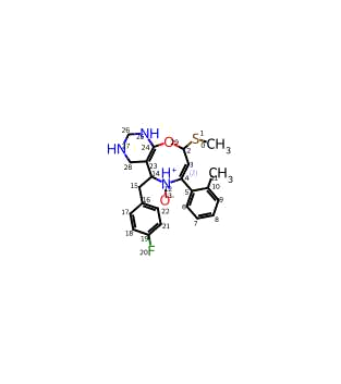 CSC1/C=C(/c2ccccc2C)[NH+]([O-])C(Cc2ccc(F)cc2)C2=C(NCNC2)O1